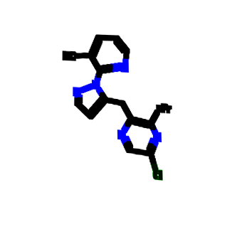 CCCc1nc(Cl)cnc1Cc1ccnn1-c1ncccc1C#N